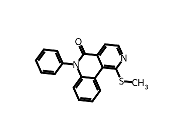 CSc1nccc2c(=O)n(-c3ccccc3)c3ccccc3c12